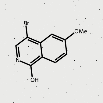 COc1ccc2c(O)ncc(Br)c2c1